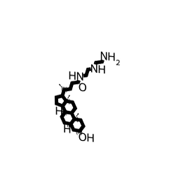 C[C@H](CCC(=O)NCCNCCN)C1CCC2[C@@H]3CC[C@@H]4C[C@H](O)CC[C@]4(C)C3CC[C@@]21C